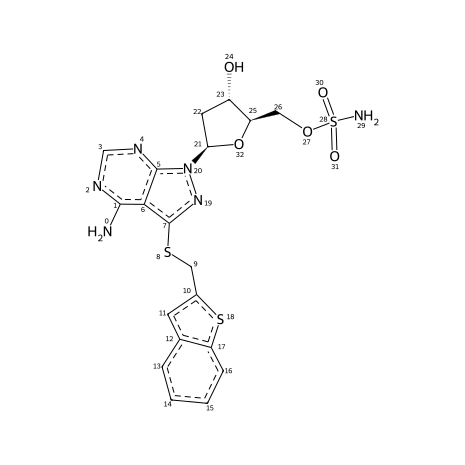 Nc1ncnc2c1c(SCc1cc3ccccc3s1)nn2[C@H]1C[C@H](O)[C@@H](COS(N)(=O)=O)O1